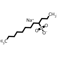 [CH2]CCC(CCCCCCCC)S(=O)(=O)[O-].[Na+]